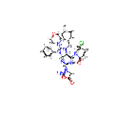 C[C@H]1CC[C@H](Cn2c(N3CCOC[C@H]3c3ccccc3)nc3nc(N4CC(=O)ON4)nc(-n4cc(Cl)ccc4=O)c32)CC1